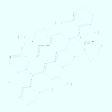 Cc1cccc(C)c1N(c1ccccc1)c1cc(C(C)C)c2ccc3c(N(c4ccccc4)c4c(C)cccc4C)cc4c5c(cc1c2c35)C(C)(C)CC4